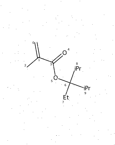 C=C(C)C(=O)OC(CC)(C(C)C)C(C)C